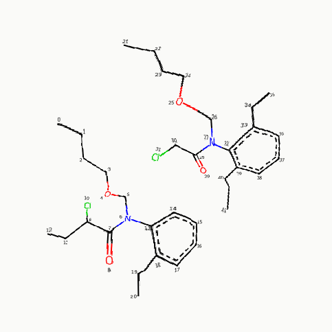 CCCCOCN(C(=O)C(Cl)CC)c1ccccc1CC.CCCCOCN(C(=O)CCl)c1c(CC)cccc1CC